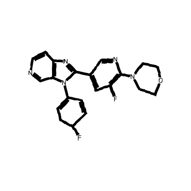 Fc1cc(-c2nc3ccncc3n2C2=CCC(F)C=C2)cnc1N1CCOCC1